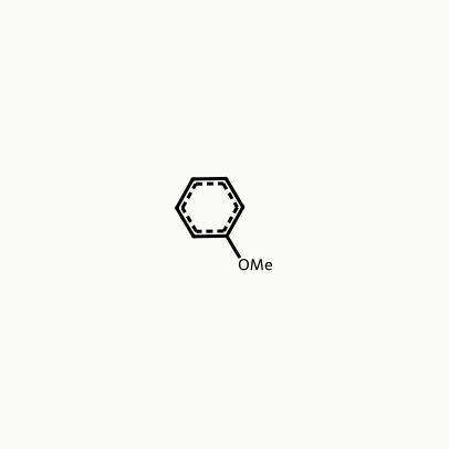 [CH]Oc1ccccc1